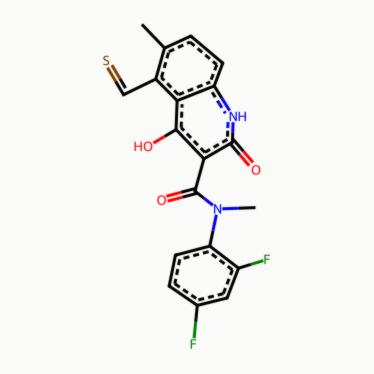 Cc1ccc2[nH]c(=O)c(C(=O)N(C)c3ccc(F)cc3F)c(O)c2c1C=S